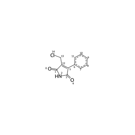 O=C1NC(=O)C(c2ccccc2)=C1CCl